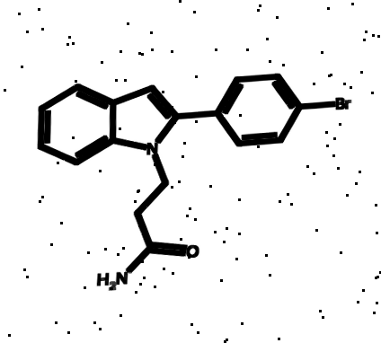 NC(=O)CCn1c(-c2ccc(Br)cc2)cc2ccccc21